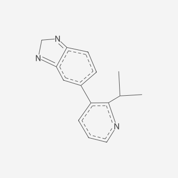 CC(C)c1ncccc1-c1ccc2c(c1)=NCN=2